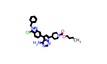 CCCCOC(=O)N1CCC(c2cc(-c3ccc4c(Cl)n(Cc5ccccc5)nc4c3)c3c(N)ncnn23)CC1